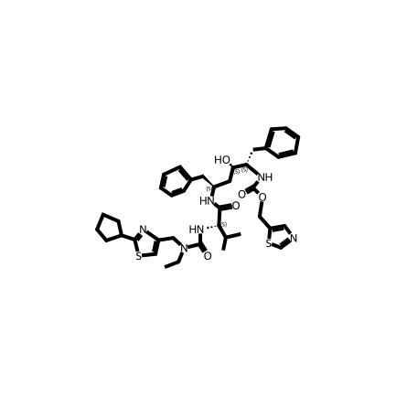 CCN(Cc1csc(C2CCCC2)n1)C(=O)N[C@H](C(=O)N[C@@H](Cc1ccccc1)C[C@H](O)[C@H](Cc1ccccc1)NC(=O)OCc1cncs1)C(C)C